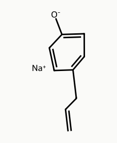 C=CCc1ccc([O-])cc1.[Na+]